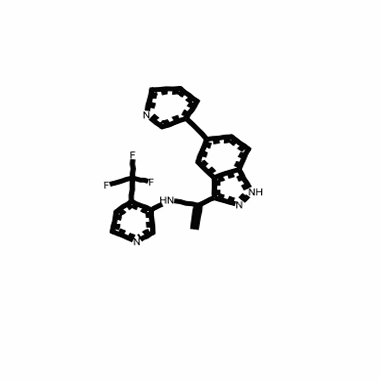 C=C(Nc1cnccc1C(F)(F)F)c1n[nH]c2ccc(-c3cccnc3)cc12